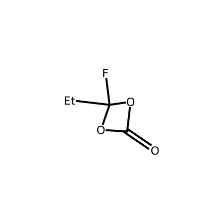 CCC1(F)OC(=O)O1